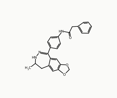 CC1Cc2cc3c(cc2C(c2ccc(NC(=O)Cc4ccccc4)cc2)=NN1)OCO3